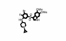 COc1cc2[nH]cc(S(=O)(=O)c3cc(Br)c(F)c(NC4CCN(C5CC5)CC4)c3)c2cc1OC